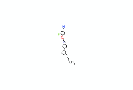 CCCCCC1CCCC(C2CCC(/C=C/COc3ccc(C#N)cc3F)CC2)C1